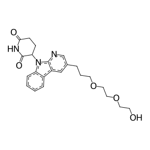 O=C1CCC(n2c3ccccc3c3cc(CCCOCCOCCO)cnc32)C(=O)N1